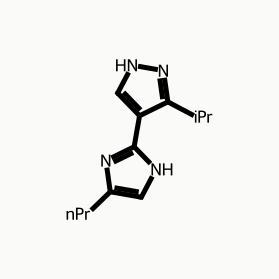 CCCc1c[nH]c(-c2c[nH]nc2C(C)C)n1